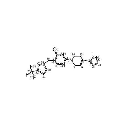 O=c1nc(N2CC=C(c3cncs3)CC2)ncn1Cc1ccc(C(F)(F)F)s1